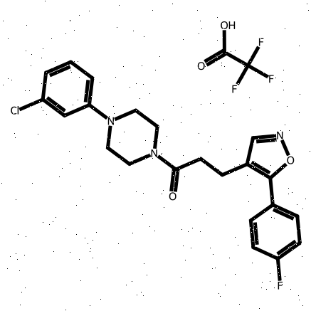 O=C(CCc1cnoc1-c1ccc(F)cc1)N1CCN(c2cccc(Cl)c2)CC1.O=C(O)C(F)(F)F